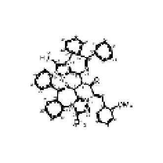 COC1C=CC=CC1/C=C/C(=O)N(C1N=C(c2ccccc2)c2ccccc2-n2c(C)nnc21)C1N=C(c2ccccc2)c2ccccc2-n2c(C)nnc21